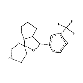 FC(F)(F)c1cccc(C2OC3(CCNCC3)N3CCCCC23)c1